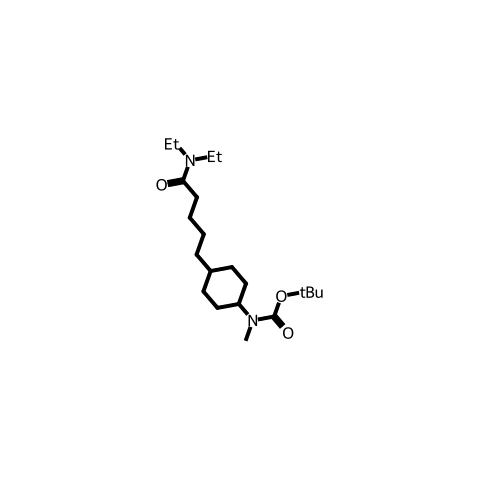 CCN(CC)C(=O)CCCCC1CCC(N(C)C(=O)OC(C)(C)C)CC1